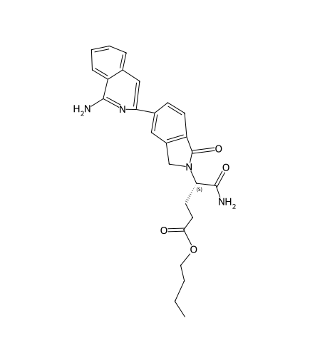 CCCCOC(=O)CC[C@@H](C(N)=O)N1Cc2cc(-c3cc4ccccc4c(N)n3)ccc2C1=O